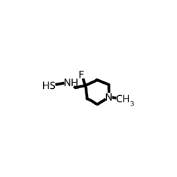 CN1CCC(F)(CNS)CC1